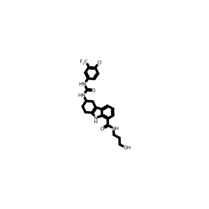 O=C(Nc1ccc(Cl)c(C(F)(F)F)c1)NC1CCc2[nH]c3c(C(=O)NCCCO)cccc3c2C1